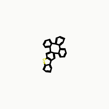 c1ccc2c(c1)-c1ccccc1-c1cc3sc4ccccc4c3cc1-c1ccccc1-2